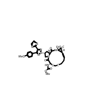 CCOC(=O)[C@@]12C[C@H]1/C=C\CCCCC[C@H](NC(=O)OC(C)(C)C)C(=O)N1C[C@H](n3nc(-c4ccc(OC)cc4)c(-c4nccs4)n3)C[C@H]1C(=O)N2